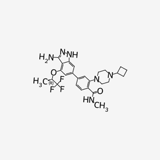 CNC(=O)c1ccc(-c2cc(O[C@H](C)C(F)(F)F)c3c(N)n[nH]c3c2)cc1N1CCN(C2CCC2)CC1